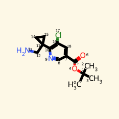 CC(C)(C)OC(=O)c1cnc(C2(CN)CC2)c(Cl)c1